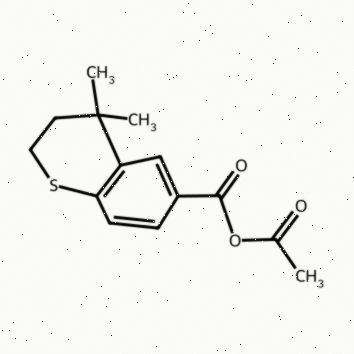 CC(=O)OC(=O)c1ccc2c(c1)C(C)(C)CCS2